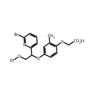 CCOCC(Oc1ccc(OCC(=O)OCC)c(C)c1)c1cccc(Br)n1